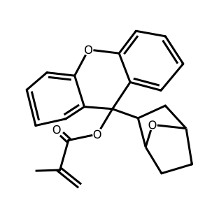 C=C(C)C(=O)OC1(C2CC3CCC2O3)c2ccccc2Oc2ccccc21